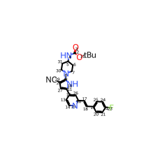 CC(C)(C)OC(=O)NC1CCN(c2[nH]c(-c3ccnc(C=Cc4ccc(F)cc4)c3)cc2C#N)CC1